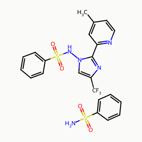 Cc1ccnc(-c2nc(C(F)(F)F)cn2NS(=O)(=O)c2ccccc2)c1.NS(=O)(=O)c1ccccc1